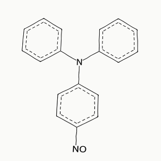 O=Nc1ccc(N(c2ccccc2)c2ccccc2)cc1